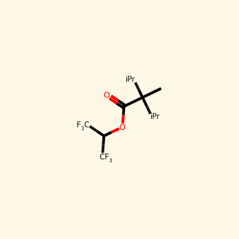 CC(C)C(C)(C(=O)OC(C(F)(F)F)C(F)(F)F)C(C)C